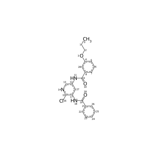 CCCOc1cccc(C(=O)Nc2cnc(Cl)c(NC(=O)c3ccccc3)c2)c1